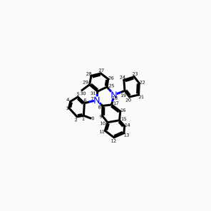 Cc1ccccc1N1c2cc3ccccc3cc2N(c2ccccc2)c2cccc(C)c21